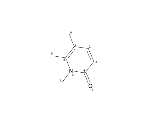 Cc1ccc(=O)n(C)c1C